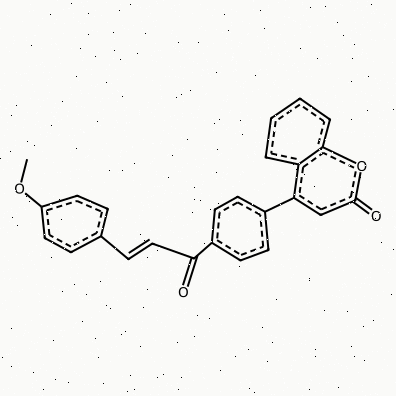 COc1ccc(C=CC(=O)c2ccc(-c3cc(=O)oc4ccccc34)cc2)cc1